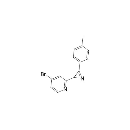 Cc1ccc(C2=NC2c2cc(Br)ccn2)cc1